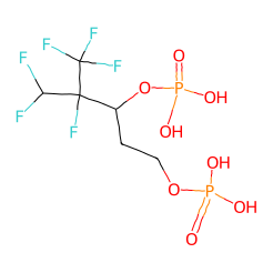 O=P(O)(O)OCCC(OP(=O)(O)O)C(F)(C(F)F)C(F)(F)F